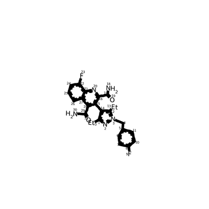 CCc1nn(Cc2ccc(F)cc2)c(CC)c1-c1c(C(N)=O)nc2c(F)cccc2c1C(N)=O